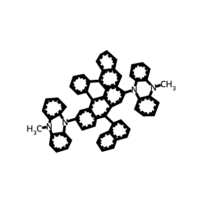 CN1c2ccccc2N(c2ccc3c(-c4cccc5ccccc45)c4cc(N5c6ccccc6N(C)c6ccccc65)ccc4c(-c4ccccc4-c4cccc5ccccc45)c3c2)c2ccccc21